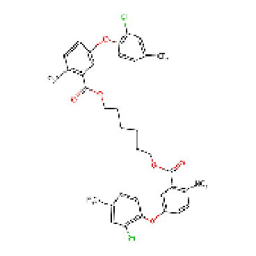 O=C(OCCCCCCOC(=O)c1cc(Oc2ccc(C(F)(F)F)cc2Cl)ccc1[N+](=O)[O-])c1cc(Oc2ccc(C(F)(F)F)cc2Cl)ccc1[N+](=O)[O-]